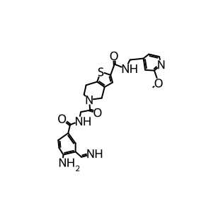 COc1cc(CNC(=O)c2cc3c(s2)CCN(C(=O)CNC(=O)c2ccc(N)c(C=N)c2)C3)ccn1